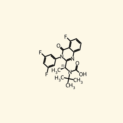 C[C@@H](c1nc2cccc(F)c2c(=O)n1-c1cc(F)cc(F)c1)N(C(=O)O)C(C)(C)C